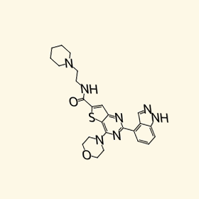 O=C(NCCN1CCCCC1)c1cc2nc(-c3cccc4[nH]ncc34)nc(N3CCOCC3)c2s1